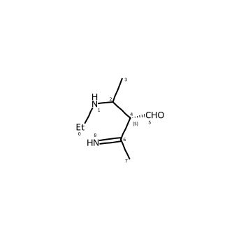 CCNC(C)[C@H](C=O)C(C)=N